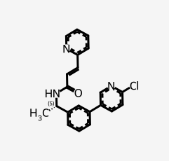 C[C@H](NC(=O)C=Cc1ccccn1)c1cccc(-c2ccc(Cl)nc2)c1